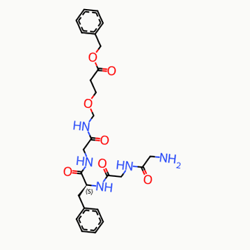 NCC(=O)NCC(=O)N[C@@H](Cc1ccccc1)C(=O)NCC(=O)NCOCCC(=O)OCc1ccccc1